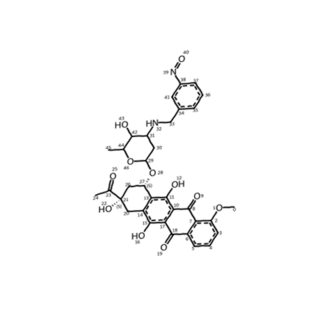 COc1cccc2c1C(=O)c1c(O)c3c(c(O)c1C2=O)C[C@@](O)(C(C)=O)C[C@@H]3OC1CC(NCc2cccc(N=O)c2)C(O)C(C)O1